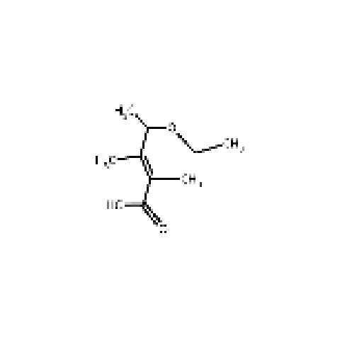 CCOC(C)C(C)=C(C)C(=O)O